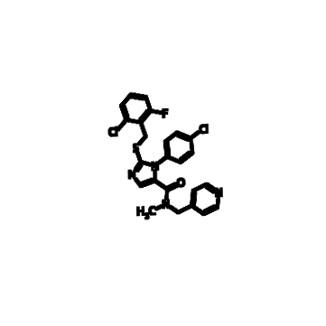 CN(Cc1ccncc1)C(=O)c1cnc(SCc2c(F)cccc2Cl)n1-c1ccc(Cl)cc1